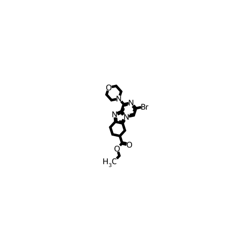 CCOC(=O)C1CCc2nc3c(N4CCOCC4)nc(Br)cn3c2C1